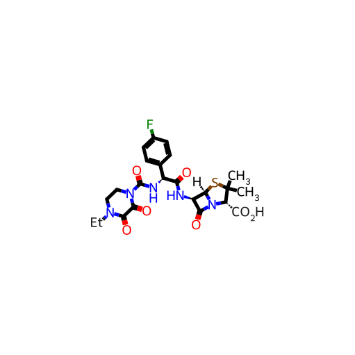 CCN1CCN(C(=O)N[C@@H](C(=O)N[C@@H]2C(=O)N3[C@@H]2SC(C)(C)[C@@H]3C(=O)O)c2ccc(F)cc2)C(=O)C1=O